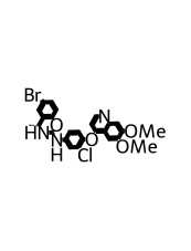 COc1cc2nccc(Oc3ccc(NC(=O)N[C@H](C)c4cccc(Br)c4)cc3Cl)c2cc1OC